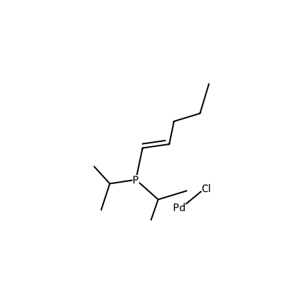 CCCC=CP(C(C)C)C(C)C.[Cl][Pd]